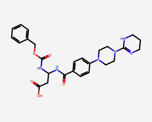 O=C(O)CC(NC(=O)OCc1ccccc1)NC(=O)c1ccc(N2CCN(C3=NCCCN3)CC2)cc1